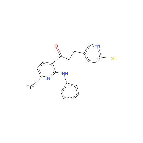 Cc1ccc(C(=O)CCc2ccc(S)nc2)c(Nc2ccccc2)n1